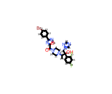 CC(N1CCN(C(=O)c2nc(-c3ccc(Br)cc3)no2)CC1)C(O)(Cn1cncn1)c1ccc(F)cc1F